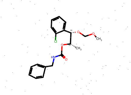 COCO[C@@H](c1ccccc1Cl)[C@H](C)OC(=O)NCc1ccccc1